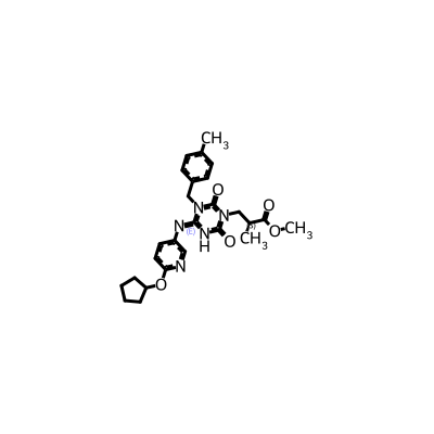 COC(=O)[C@@H](C)Cn1c(=O)[nH]/c(=N\c2ccc(OC3CCCC3)nc2)n(Cc2ccc(C)cc2)c1=O